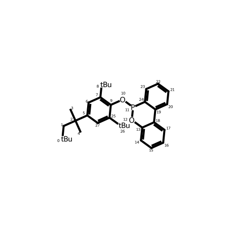 CC(C)(C)CC(C)(C)c1cc(C(C)(C)C)c(OP2Oc3ccccc3-c3ccccc32)c(C(C)(C)C)c1